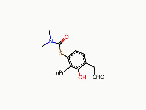 CCCc1c(SC(=O)N(C)C)ccc(CC=O)c1O